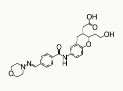 O=C(O)CC1Cc2cc(NC(=O)c3ccc(C=NN4CCOCC4)cc3)ccc2OC1CCO